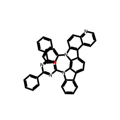 c1ccc(-c2nc(-c3ccccc3)nc(-n3c4ccccc4c4ccc5c6c7cccnc7ccc6n(-c6ccccc6)c5c43)n2)cc1